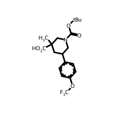 CC(C)(C)OC(=O)N1CC(c2ccc(OC(F)(F)F)cc2)CC(C)(C(=O)O)C1